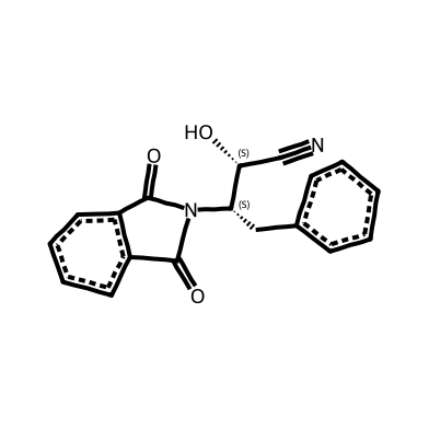 N#C[C@@H](O)[C@H](Cc1ccccc1)N1C(=O)c2ccccc2C1=O